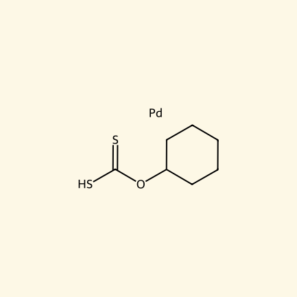 S=C(S)OC1CCCCC1.[Pd]